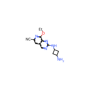 CCOc1nc(C#N)cc2cnc(NC3CC(N)C3)nc12